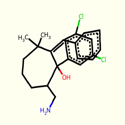 CC1(C)CCCC(CN)C(O)(c2cc(Cl)cc(Cl)c2)C1=Cc1ccccc1